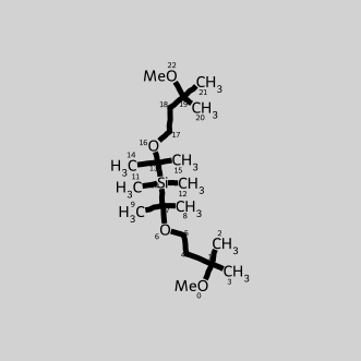 COC(C)(C)CCOC(C)(C)[Si](C)(C)C(C)(C)OCCC(C)(C)OC